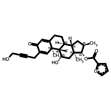 C[C@@H]1C[C@H]2[C@@H]3CCC4=CC(=O)C(CC#CCO)=C[C@]4(C)[C@@]3(F)[C@@H](O)C[C@]2(C)[C@H]1OC(=O)c1ccco1